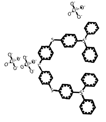 [O-][Cl+3]([O-])([O-])[O-].[O-][Cl+3]([O-])([O-])[O-].[O-][Cl+3]([O-])([O-])[O-].c1ccc([S+](c2ccccc2)c2ccc(Sc3ccc([I+]c4ccc(Sc5ccc([S+](c6ccccc6)c6ccccc6)cc5)cc4)cc3)cc2)cc1